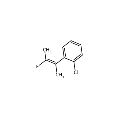 C/C(F)=C(/C)c1ccccc1Cl